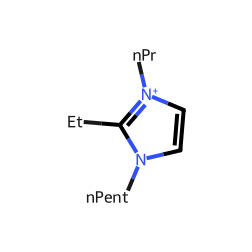 CCCCCn1cc[n+](CCC)c1CC